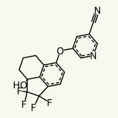 N#Cc1cncc(Oc2ccc3c4c2CCCC4(O)C(F)(F)C3(F)F)c1